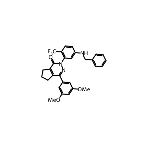 COc1cc(OC)cc(-c2nn(-c3cc(NCc4ccccc4)ccc3C(F)(F)F)c(=O)c3c2CCC3)c1